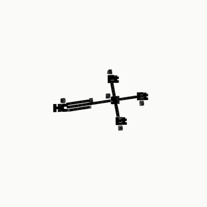 C#C[Si](CC)(CC)CC